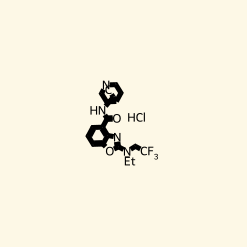 CCN(CC(F)(F)F)c1nc2c(C(=O)NC3CN4CCC3CC4)cccc2o1.Cl